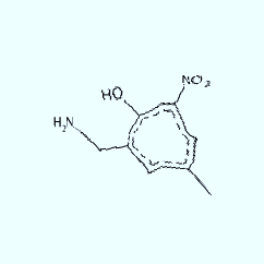 Cc1cc(CN)c(O)c([N+](=O)[O-])c1